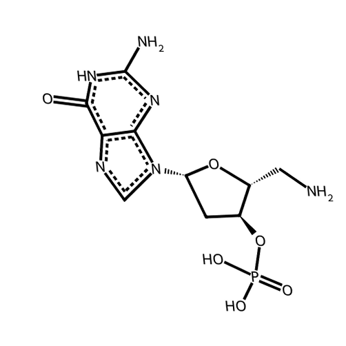 NC[C@H]1O[C@@H](n2cnc3c(=O)[nH]c(N)nc32)C[C@@H]1OP(=O)(O)O